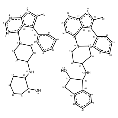 Cc1sc2ncnc(N3CCC(NC4CCCCC4O)CC3)c2c1-c1ccccc1.Cc1sc2ncnc(N3CCC(NC4c5ccccc5CC4O)CC3)c2c1-c1ccccc1